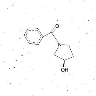 O=C(c1cc[c]cc1)N1CC[C@@H](O)C1